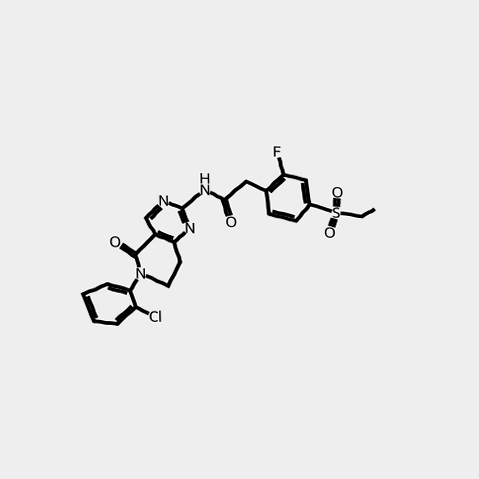 CCS(=O)(=O)c1ccc(CC(=O)Nc2ncc3c(n2)CCN(c2ccccc2Cl)C3=O)c(F)c1